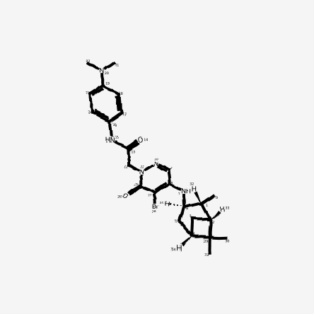 C[C@@H]1[C@H]2C[C@@H](C[C@H]1Nc1cnn(CC(=O)Nc3ccc(N(C)C)cc3)c(=O)c1Br)C2(C)C